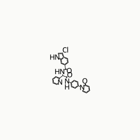 O=C(NC(C(=O)Nc1ccc(-n2ccccc2=O)cc1)c1ccccn1)c1ccc2c(Cl)c[nH]c2c1